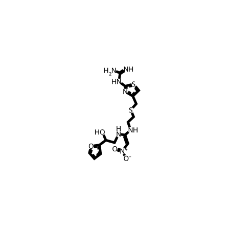 N=C(N)Nc1nc(CSCCNC(=C[N+](=O)[O-])NCC(O)c2ccco2)cs1